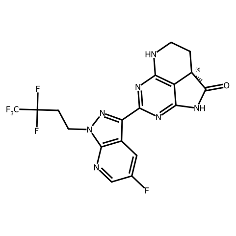 C[C@@]12CCNc3nc(-c4nn(CCC(F)(F)C(F)(F)F)c5ncc(F)cc45)nc(c31)NC2=O